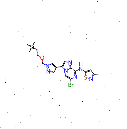 Cc1cc(Nc2nc(Br)cn3c(-c4cnn(COCC[Si](C)(C)C)c4)cnc23)sn1